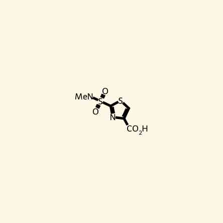 CNS(=O)(=O)c1nc(C(=O)O)cs1